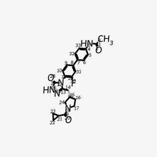 CC(=O)Nc1ccc(-c2ccc(-n3c(C[C@@H]4CCN(C(=O)C5CC5)C4)n[nH]c3=O)c(F)c2)cc1